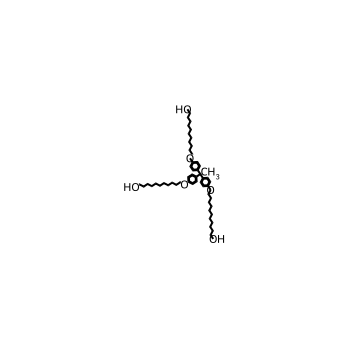 CC(c1ccc(OCCCCCCCCCCCO)cc1)(c1ccc(OCCCCCCCCCCCO)cc1)c1ccc(OCCCCCCCCCCCO)cc1